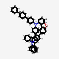 c1ccc(-c2ccc(-c3ccc(N(c4ccc(-c5ccc(-c6ccccc6)cc5)cc4)c4cccc5oc6ccc(-c7ccc8c(c7)c7ccccc7n8-c7ccccc7)cc6c45)cc3)cc2)cc1